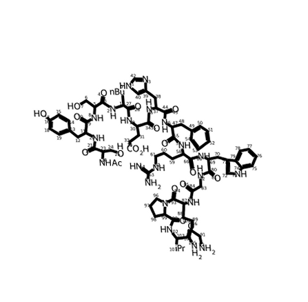 CCCCC(NC(=O)C(CO)NC(=O)C(Cc1ccc(O)cc1)NC(=O)C(CO)NC(C)=O)C(=O)NC(CCC(=O)O)C(=O)NC(Cc1c[nH]cn1)C(=O)NC(Cc1ccccc1)C(=O)NC(CCCNC(=N)N)C(=O)NC(Cc1c[nH]c2ccccc12)C(=O)NCC(=O)NC(CCCCN)C(=O)N1CCCC1C(=O)NC(C(N)=O)C(C)C